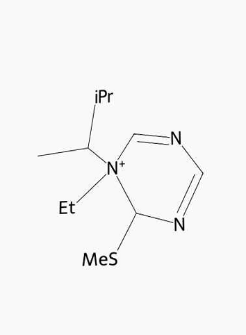 CC[N+]1(C(C)C(C)C)C=NC=NC1SC